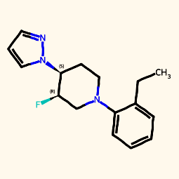 CCc1ccccc1N1CC[C@H](n2cccn2)[C@H](F)C1